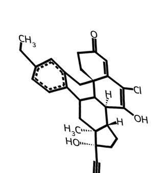 C#C[C@]1(O)CC[C@H]2[C@@H]3C(O)=C(Cl)C4=CC(=O)CC[C@@]45Cc4cc(CC)ccc4C(C[C@@]21C)C35